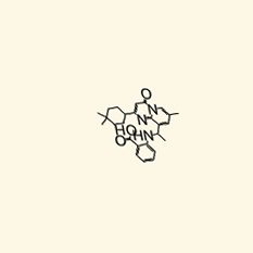 Cc1cc(C(C)Nc2ccccc2C(=O)O)c2nc(C3CCC(C)(C)CC3)cc(=O)n2c1